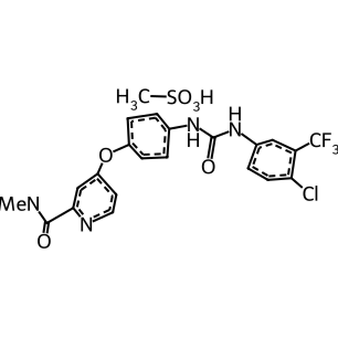 CNC(=O)c1cc(Oc2ccc(NC(=O)Nc3ccc(Cl)c(C(F)(F)F)c3)cc2)ccn1.CS(=O)(=O)O